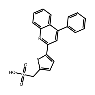 O=S(=O)(O)Cc1ccc(-c2cc(-c3ccccc3)c3ccccc3n2)s1